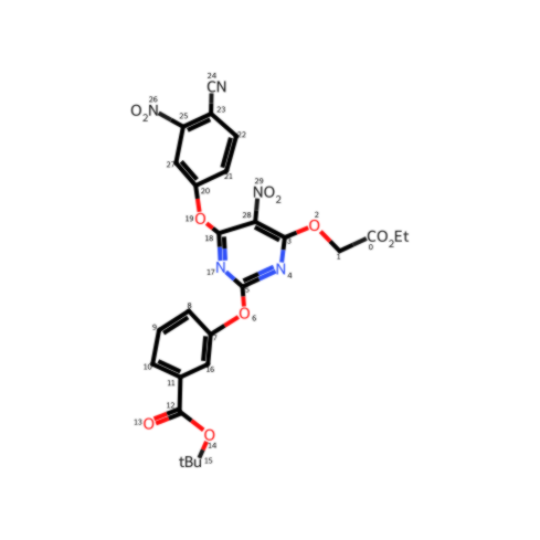 CCOC(=O)COc1nc(Oc2cccc(C(=O)OC(C)(C)C)c2)nc(Oc2ccc(C#N)c([N+](=O)[O-])c2)c1[N+](=O)[O-]